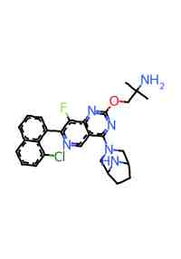 CC(C)(N)COc1nc(N2CC3CCC(C2)N3)c2cnc(-c3cccc4cccc(Cl)c34)c(F)c2n1